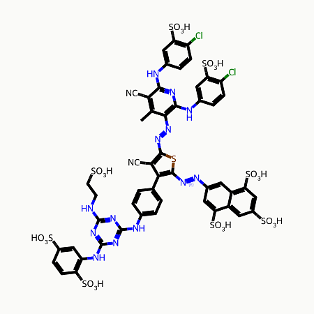 Cc1c(C#N)c(Nc2ccc(Cl)c(S(=O)(=O)O)c2)nc(Nc2ccc(Cl)c(S(=O)(=O)O)c2)c1N=Nc1sc(/N=N/c2cc(S(=O)(=O)O)c3cc(S(=O)(=O)O)cc(S(=O)(=O)O)c3c2)c(-c2ccc(Nc3nc(NCCS(=O)(=O)O)nc(Nc4cc(S(=O)(=O)O)ccc4S(=O)(=O)O)n3)cc2)c1C#N